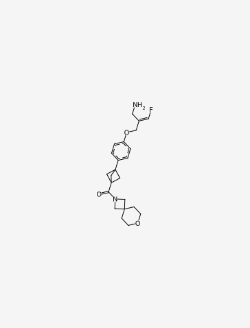 NC/C(=C\F)COc1ccc(C23CC(C(=O)N4CC5(CCOCC5)C4)(C2)C3)cc1